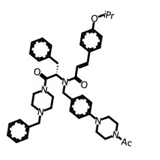 CC(=O)N1CCN(c2ccc(CN(C(=O)C=Cc3ccc(OC(C)C)cc3)[C@@H](Cc3ccccc3)C(=O)N3CCN(Cc4ccccc4)CC3)cc2)CC1